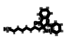 NCCCCCCCC(N)(C(=O)c1ccccc1)C(=O)c1ccccc1